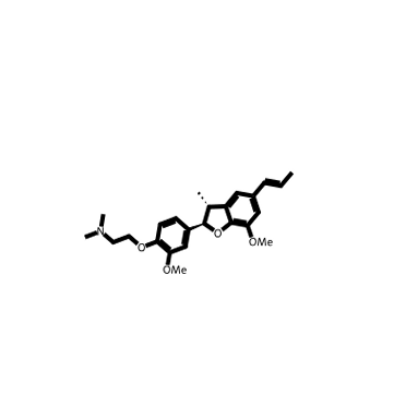 CC=Cc1cc(OC)c2c(c1)[C@@H](C)[C@H](c1ccc(OCCN(C)C)c(OC)c1)O2